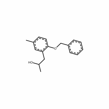 Cc1ccc(OCc2ccccc2)c(CC(C)O)c1